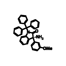 COc1cccc([C@]2(N)C(=O)N(C(c3ccccc3)(c3ccccc3)c3ccccc3)c3ccccc32)c1